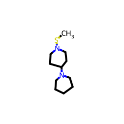 CSN1CCC(N2CCCCC2)CC1